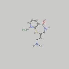 CN(C)CCC1CN(C)C(=O)c2cccnc2S1.Cl